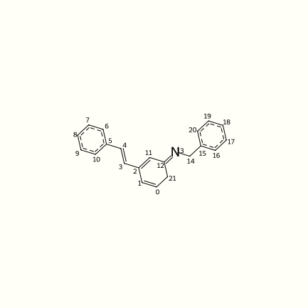 C1=CC(C=Cc2ccccc2)=CC(=NCc2ccccc2)C1